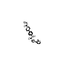 Cc1ncccc1N1CC[C@H](C(=O)Nc2ccc(C3CCN(C(=O)OC(C)(C)C)CC3)cc2)C1